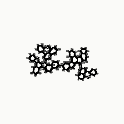 c1ccc2c(c1)Sc1cccc3nc(-n4c5ccc6ccccc6c5c5c6ccccc6c6c7cc(-c8ccc9c(ccc%10c%11c%12ccccc%12c%12c%13ccccc%13sc%12c%11n(-c%11nc%12c%13c(cccc%13n%11)Sc%11ccccc%11-%12)c9%10)c8)ccc7sc6c54)nc-2c13